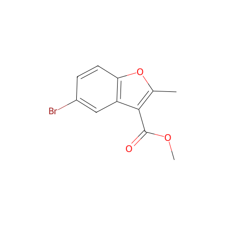 COC(=O)c1c(C)oc2ccc(Br)cc12